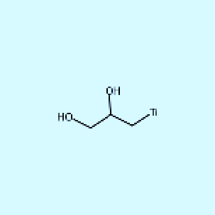 OCC(O)[CH2][Ti]